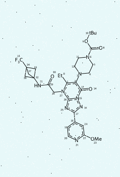 CCc1c(N2CCN(C(=O)OC(C)(C)C)CC2)c(=O)n2nc(-c3ccnc(OC)c3)nc2n1CC(=O)NC12CC(C(F)(F)F)(C1)C2